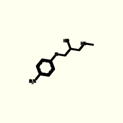 CNCC(O)COc1ccc(N)cc1